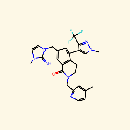 Cc1ccnc(CN2CCc3c(cc(Cn4ccn(C)c4=N)cc3-c3cn(C)nc3C(F)(F)F)C2=O)c1